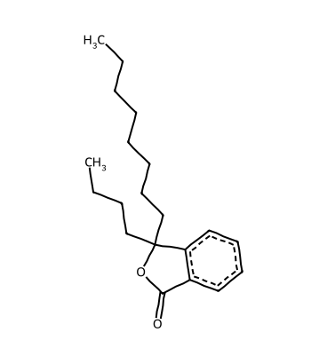 CCCCCCCCC1(CCCC)OC(=O)c2ccccc21